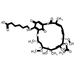 CO[C@H]1C=CC=C(C)C(=O)NC2=CC(=O)C(NCCCCCC(=O)O)=C(C[C@@H](C)C[C@H](OC)[C@@H](O)[C@@H](C)C=C(C)[C@@H]1OC(N)=O)C2=O